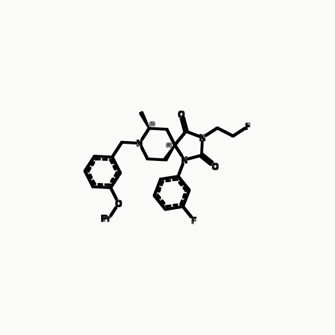 CC(C)Oc1cccc(CN2CC[C@@]3(C[C@@H]2C)C(=O)N(CCF)C(=O)N3c2cccc(F)c2)c1